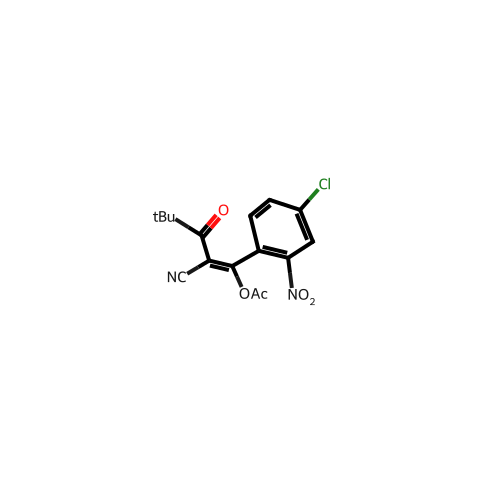 CC(=O)OC(=C(C#N)C(=O)C(C)(C)C)c1ccc(Cl)cc1[N+](=O)[O-]